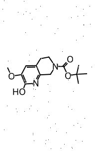 COc1cc2c(nc1O)CN(C(=O)OC(C)(C)C)CC2